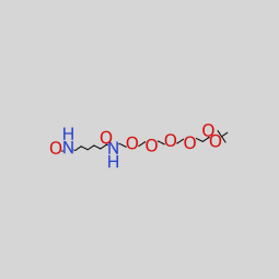 CC(C)(C)OC(=O)CCOCCOCCOCCOCCNC(=O)CCCCCNC=O